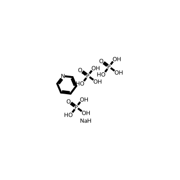 O=P(O)(O)O.O=P(O)(O)O.O=P(O)(O)O.[NaH].c1ccncc1